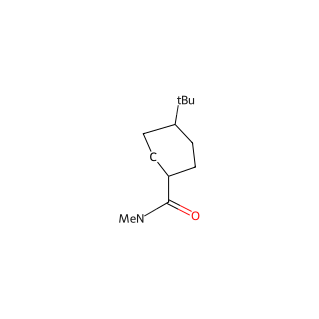 CNC(=O)C1CCC(C(C)(C)C)CC1